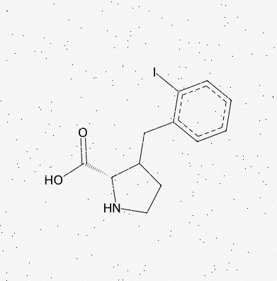 O=C(O)[C@H]1NCCC1Cc1ccccc1I